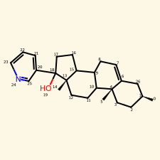 C[C@H]1CC[C@@]2(C)C(=CCC3C2CC[C@@]2(C)C3CCC2(O)c2cccnc2)C1